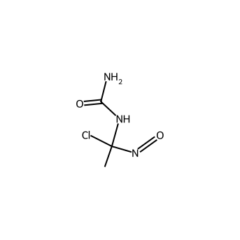 CC(Cl)(N=O)NC(N)=O